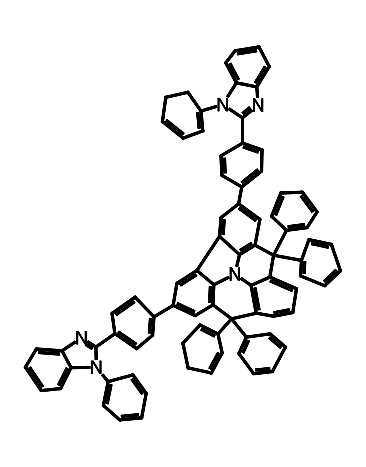 C1=CCCC(n2c(-c3ccc(-c4cc5c6c(c4)c4cc(-c7ccc(-c8nc9ccccc9n8-c8ccccc8)cc7)cc7c4n6-c4c(cccc4C5(c4ccccc4)c4ccccc4)C7(C4=CCCC=C4)c4ccccc4)cc3)nc3ccccc32)=C1